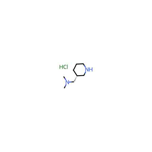 CN(C)C[C@@H]1CCCNC1.Cl